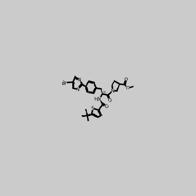 COC(=O)C1CCN(C(=O)[C@H](Cc2ccc(-c3ncc(Br)cn3)cc2)NC(=O)c2ccc(C(C)(C)C)s2)C1